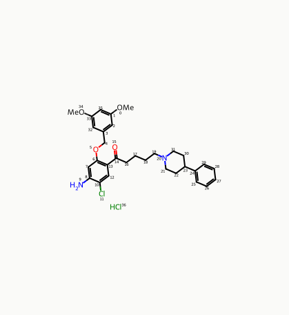 COc1cc(COc2cc(N)c(Cl)cc2C(=O)CCCCN2CCC(c3ccccc3)CC2)cc(OC)c1.Cl